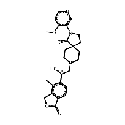 COc1ccncc1N1CCC2(CCN(C[C@H](O)c3ccc4c(c3C)COC4=O)CC2)C1=O